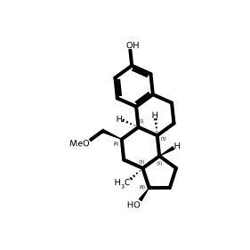 COC[C@@H]1C[C@]2(C)[C@H](O)CC[C@H]2[C@@H]2CCc3cc(O)ccc3[C@H]12